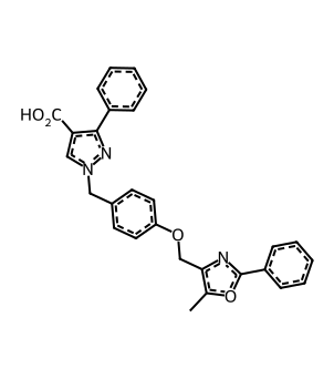 Cc1oc(-c2ccccc2)nc1COc1ccc(Cn2cc(C(=O)O)c(-c3ccccc3)n2)cc1